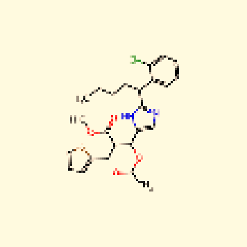 CCCCC(c1ncc(C(OC(C)=O)C(Cc2cccs2)C(=O)OC)[nH]1)c1ccccc1Cl